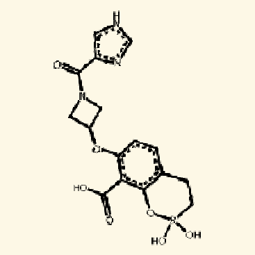 O=C(O)c1c(OC2CN(C(=O)c3c[nH]cn3)C2)ccc2c1O[B-](O)(O)CC2